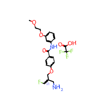 COCCOc1cccc(NC(=O)c2ccc(OC/C(=C\F)CN)cc2)c1.O=C(O)C(F)(F)F